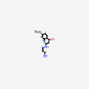 COc1ccc2c(O)cc(N/C=C\C=N)nc2c1